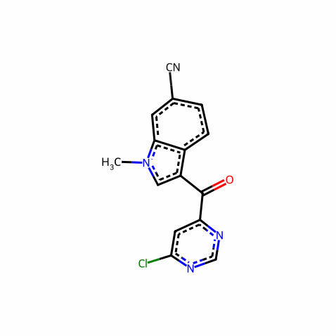 Cn1cc(C(=O)c2cc(Cl)ncn2)c2ccc(C#N)cc21